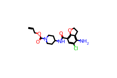 C=CCOC(=O)N1CCC(NC(=O)c2cc(Cl)c(N)c3c2OCC3)CC1